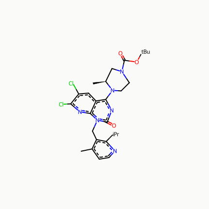 Cc1ccnc(C(C)C)c1Cn1c(=O)nc(N2CCN(C(=O)OC(C)(C)C)C[C@@H]2C)c2cc(Cl)c(Cl)nc21